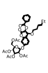 CCC=CCCOc1c(OC(=O)c2ccccc2)c(=O)oc2cc(O[C@H]3O[C@H](COC(C)=O)[C@@H](OC(C)=O)[C@H](OC(C)=O)[C@@H]3OC(C)=O)ccc12